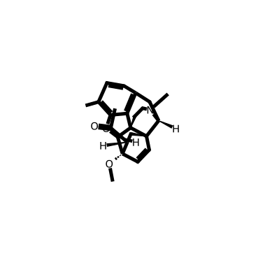 CO[C@@]12C=C[C@@]3(C[C@H]1C(C)=O)[C@H]1Cc4ccc(C)c5c4[C@@]3(CCN1C)[C@H]2O5